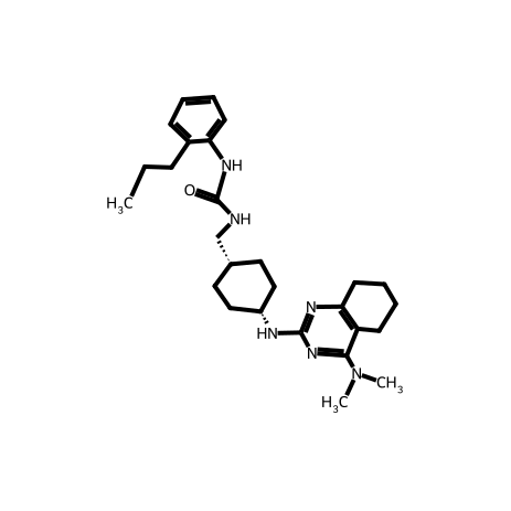 CCCc1ccccc1NC(=O)NC[C@H]1CC[C@@H](Nc2nc3c(c(N(C)C)n2)CCCC3)CC1